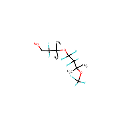 CC(C)(OC(F)(F)C(F)(F)C(C)(C)OC(F)(F)F)C(F)(F)CO